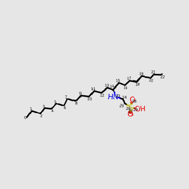 CCCCCCCCCCCCCCC(CCCCCCCC)NCCS(=O)(=O)O